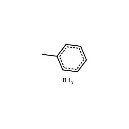 B.Cc1ccccc1